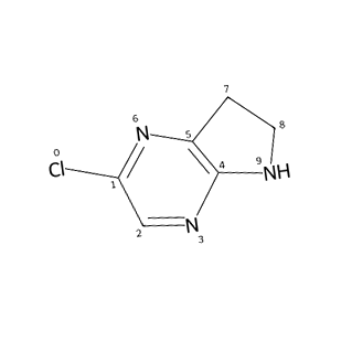 Clc1cnc2c(n1)CCN2